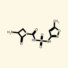 Cc1cc(NS(=O)(=O)NC(=O)N2CC(N)C2=O)no1